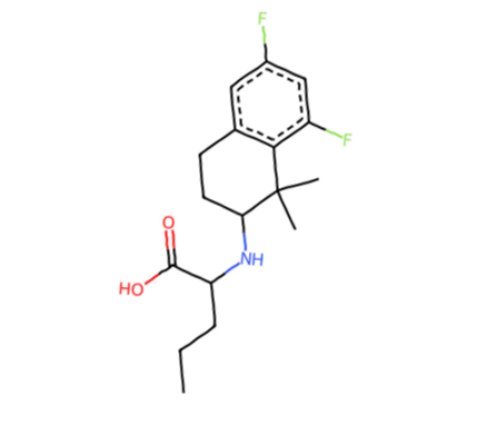 CCCC(NC1CCc2cc(F)cc(F)c2C1(C)C)C(=O)O